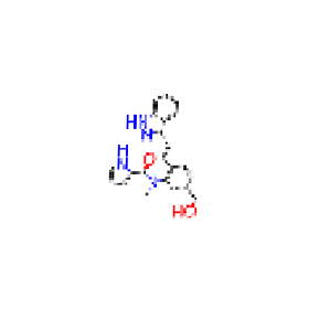 CN(C(=O)c1ccc[nH]1)c1cc(CO)ccc1C=Cc1n[nH]c2ccccc12